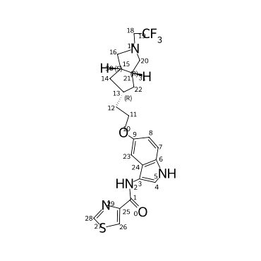 O=C(Nc1c[nH]c2ccc(OCC[C@@H]3C[C@@H]4CN(CC(F)(F)F)C[C@@H]4C3)cc12)c1cscn1